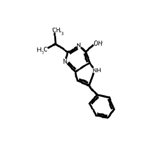 CC(C)c1nc(O)c2[nH]c(-c3ccccc3)cc2n1